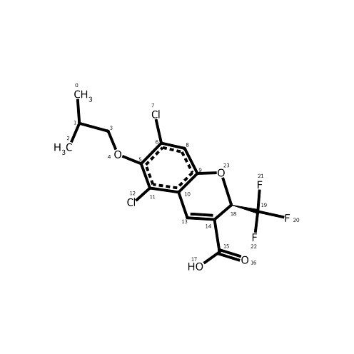 CC(C)COc1c(Cl)cc2c(c1Cl)C=C(C(=O)O)[C@H](C(F)(F)F)O2